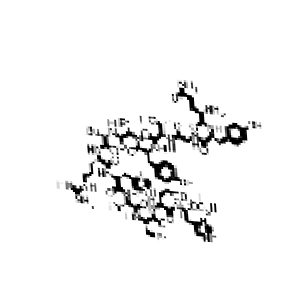 CC[C@H](C)[C@H](NC(=O)[C@@H](NC(=O)[C@H](Cc1ccc(O)cc1)NC(=O)[C@@H](NC(=O)CNC(=O)[C@H](Cc1ccc(O)cc1)NC(=O)[C@@H](N)CCC(N)=O)[C@@H](C)O)C(C)C)C(=O)N[C@@H](CCCNC(=N)N)C(=O)N[C@@H](Cc1c[nH]cn1)C(=O)N[C@H](C(=O)N[C@@H](CC(C)C)C(=O)N[C@@H](CCC(=O)O)C(=O)N[C@@H](Cc1c[nH]cn1)C(=O)O)C(C)C